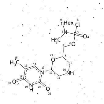 CCCCCCN(C)P(=O)(Cl)OC[C@@H]1CNC[C@H](n2cc(C)c(=O)[nH]c2=O)O1